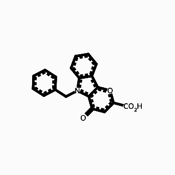 O=C(O)c1cc(=O)c2c(o1)c1ccccc1n2Cc1ccccc1